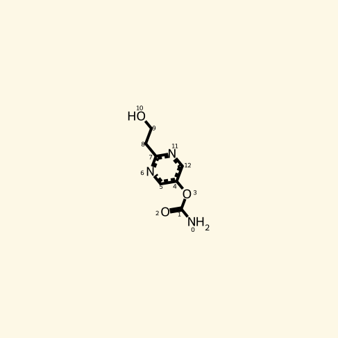 NC(=O)Oc1cnc(CCO)nc1